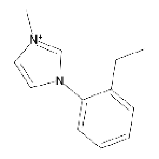 CCc1ccccc1-n1cc[n+](C)c1